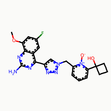 COc1cc(F)cc2c(-c3cn(Cc4cccc(C5(O)CCC5)[n+]4[O-])nn3)nc(N)nc12